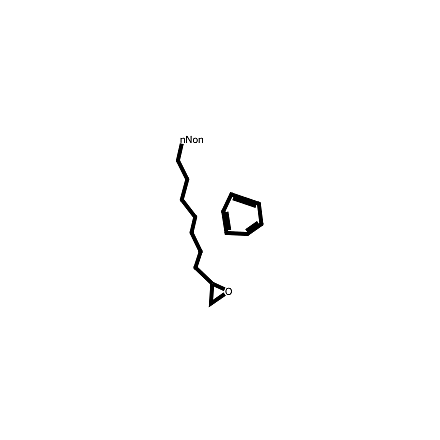 CCCCCCCCCCCCCCCCC1CO1.c1ccccc1